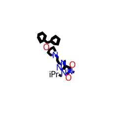 CC(C)Cn1c(=O)n(C)c(=O)c2c1nc(CCN1CCC(OC(c3ccccc3)c3ccccc3)CC1)n2C